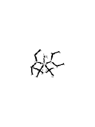 CC[N](CC)[Mo]([NH2])([N](CC)CC)([C](C)(C)C)[C](C)(C)C